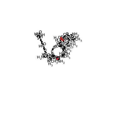 CC[C@H](C)[C@H](NC(=O)[C@H](C)NC(=O)[C@H](CC(N)=O)NC(=O)[C@H](CCC(N)=O)NC(=O)[C@@H](N)[C@@H](C)O)C(=O)N[C@@H](CC(=O)O)C(=O)N[C@@]1(C)CCC/C=C\CCC[C@@](C)(C(=O)N[C@H](C(=O)N[C@@H](CC(N)=O)C(=O)NCCOCCNC(=O)CCCC[C@@H]2SC[C@@H]3NC(=O)N[C@@H]32)C(C)C)NC(=O)[C@H](CC(N)=O)NC(=O)[C@H]([C@@H](C)O)NC(=O)[C@H]([C@@H](C)CC)NC1=O